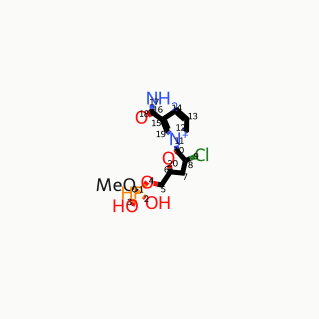 CO[PH](O)(O)OCC1CC(Cl)C([n+]2cccc(C(N)=O)c2)O1